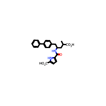 CC(CC(Cc1ccc(-c2ccccc2)cc1)NC(=O)c1ccc(C(=O)O)[nH]1)C(=O)O